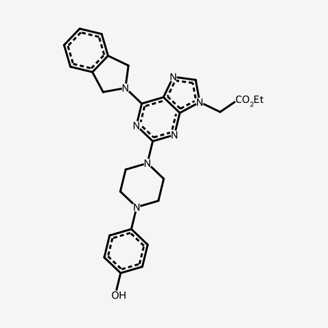 CCOC(=O)Cn1cnc2c(N3Cc4ccccc4C3)nc(N3CCN(c4ccc(O)cc4)CC3)nc21